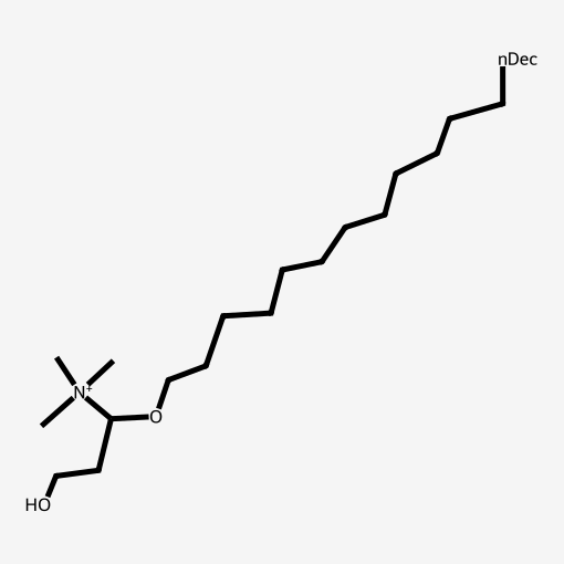 CCCCCCCCCCCCCCCCCCCCCCOC(CCO)[N+](C)(C)C